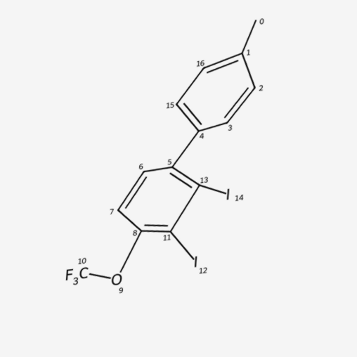 Cc1ccc(-c2ccc(OC(F)(F)F)c(I)c2I)cc1